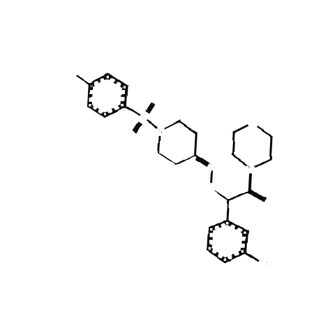 N#Cc1cccc(C(ON=C2CCN(S(=O)(=O)c3ccc(O)cc3)CC2)C(=O)N2CCOCC2)c1